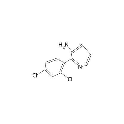 Nc1cccnc1-c1ccc(Cl)cc1Cl